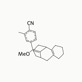 CO/C(=C1\C2CCCC1C1=C(CCCC1)C2)c1ccc(C#N)c(C)c1